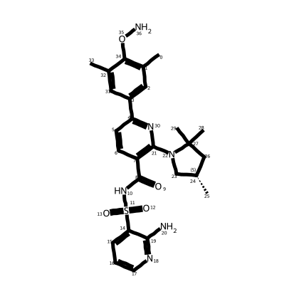 Cc1cc(-c2ccc(C(=O)NS(=O)(=O)c3cccnc3N)c(N3C[C@@H](C)CC3(C)C)n2)cc(C)c1ON